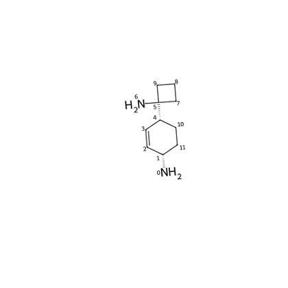 N[C@@H]1C=C[C@H](C2(N)CCC2)CC1